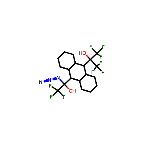 [N-]=[N+]=NC(O)(C1C2CCCCC2C(C(O)(C(F)(F)F)C(F)(F)F)C2CCCCC21)C(F)(F)F